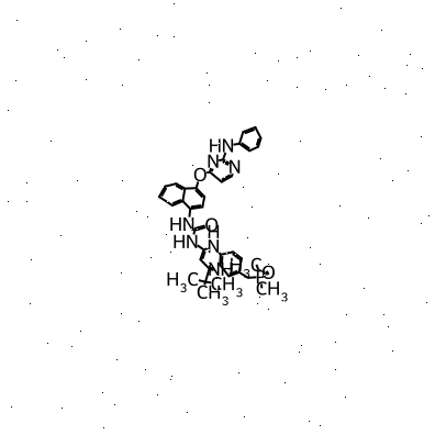 CC(C)(C)C(=N)/C=C(/NC(=O)Nc1ccc(Oc2ccnc(Nc3ccccc3)n2)c2ccccc12)Nc1ccc(CP(C)(C)=O)cc1